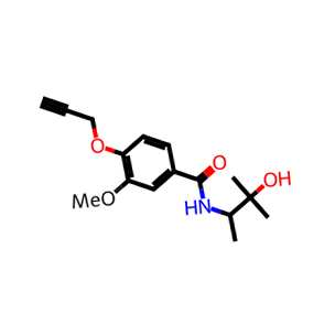 C#CCOc1ccc(C(=O)NC(C)C(C)(C)O)cc1OC